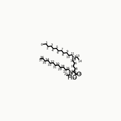 CCCCCCCCCCCCN(CC)CCCCC(C(=O)O)N(CC)CCCCCCCCCCCC